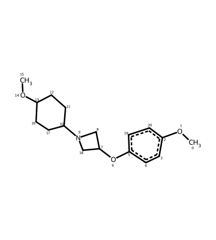 COc1ccc(OC2CN(C3CCC(OC)CC3)C2)cc1